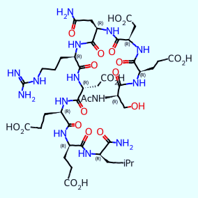 CC(=O)N[C@H](CO)C(=O)N[C@H](CCC(=O)O)C(=O)N[C@H](CC(=O)O)C(=O)N[C@H](CC(N)=O)C(=O)N[C@H](CCCNC(=N)N)C(=O)N[C@H](CC(=O)O)C(=O)N[C@H](CCC(=O)O)C(=O)N[C@H](CCC(=O)O)C(=O)N[C@H](CC(C)C)C(N)=O